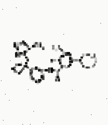 Cn1cnnc1CC1(c2cccc(N3Cc4c(cc(C5CCCOC5)cc4C(F)(F)F)C3=O)c2)COC1